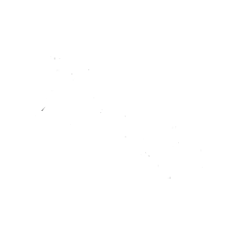 CCCC[C@H]1C[S@+]([O-])c2ccc(OCc3ccc4ccccc4n3)cc2C1=O